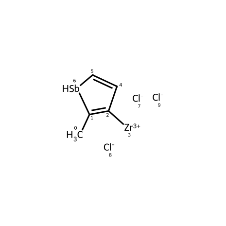 C[C]1=[C]([Zr+3])C=[CH][SbH]1.[Cl-].[Cl-].[Cl-]